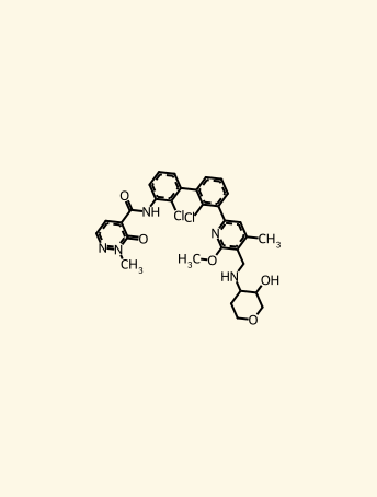 COc1nc(-c2cccc(-c3cccc(NC(=O)c4ccnn(C)c4=O)c3Cl)c2Cl)cc(C)c1CNC1CCOCC1O